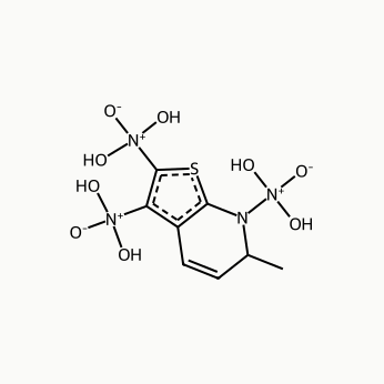 CC1C=Cc2c(sc([N+]([O-])(O)O)c2[N+]([O-])(O)O)N1[N+]([O-])(O)O